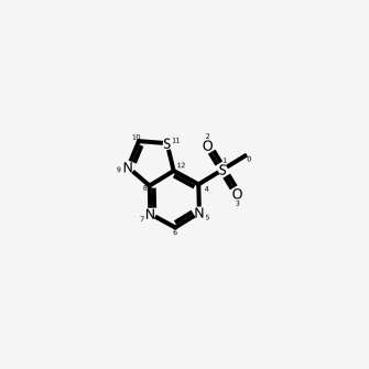 CS(=O)(=O)c1ncnc2ncsc12